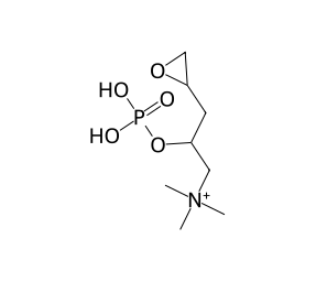 C[N+](C)(C)CC(CC1CO1)OP(=O)(O)O